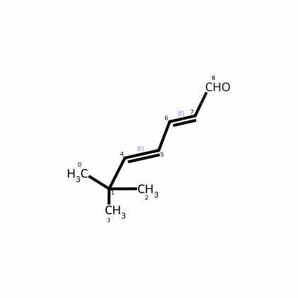 CC(C)(C)/C=C/C=C/C=O